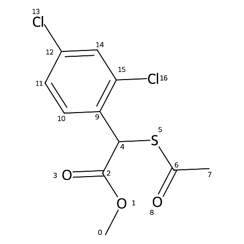 COC(=O)C(SC(C)=O)c1ccc(Cl)cc1Cl